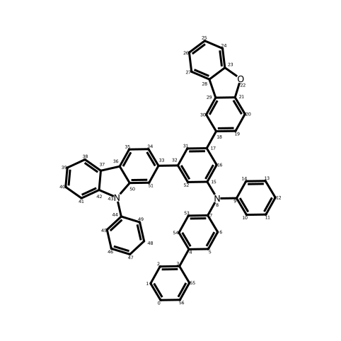 c1ccc(-c2ccc(N(c3ccccc3)c3cc(-c4ccc5oc6ccccc6c5c4)cc(-c4ccc5c6ccccc6n(-c6ccccc6)c5c4)c3)cc2)cc1